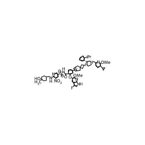 COc1nc2[nH]cc(F)c2cc1Oc1cc(N2C3CCC2CC2(C3)CC(N3CCN(Cc4ccc(C5CC5)c(OC)n4)C[C@H]3c3ccccc3C(C)C)C2)ccc1C(=O)NS(=O)(=O)c1cnc(NCC2CCC(C)(O)CC2)c([N+](=O)[O-])c1